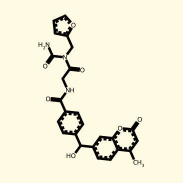 Cc1cc(=O)oc2cc(C(O)c3ccc(C(=O)NCC(=O)N(Cc4ccco4)C(N)=O)cc3)ccc12